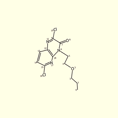 CCCOCCn1c(=O)c(Cl)nc2ccc(Cl)nc21